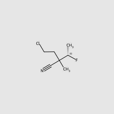 C[C@H](F)C(C)(C#N)CCCl